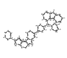 c1ccc(-c2nc3c(ccc4oc5cc(-c6ccc(N(c7ccccc7)c7cccc8sc9ccccc9c78)cc6)ccc5c43)o2)cc1